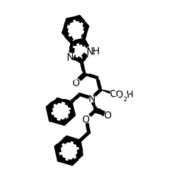 O=C(C[C@@H](C(=O)O)N(Cc1ccccc1)C(=O)OCc1ccccc1)c1nc2ccccc2[nH]1